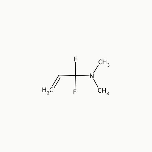 C=CC(F)(F)N(C)C